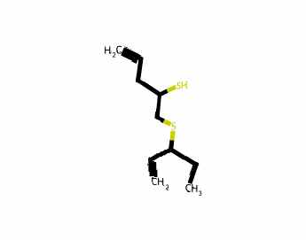 C=CCC(S)CSC(C=C)CC